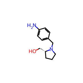 Nc1ccc(CN2CCC[C@@H]2CO)cc1